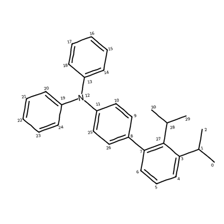 CC(C)c1cccc(-c2ccc(N(c3ccccc3)c3ccccc3)cc2)c1C(C)C